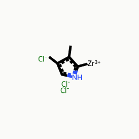 Cc1c[nH][c]([Zr+3])c1C.[Cl-].[Cl-].[Cl-]